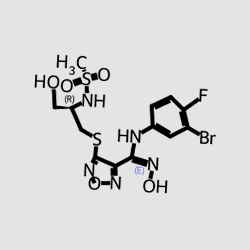 CS(=O)(=O)N[C@H](CO)CSc1nonc1/C(=N\O)Nc1ccc(F)c(Br)c1